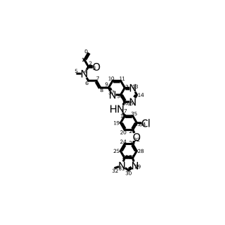 C=CC(=O)N(C)CC=Cc1ccc2ncnc(Nc3ccc(Oc4ccc5c(c4)ncn5C)c(Cl)c3)c2n1